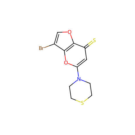 S=c1cc(N2CCSCC2)oc2c(Br)coc12